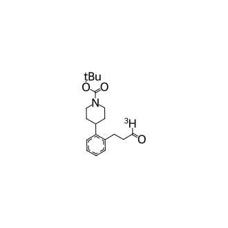 [3H]C(=O)CCc1ccccc1C1CCN(C(=O)OC(C)(C)C)CC1